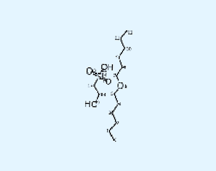 CCCCCCOCCCCCC.O=S(=O)(O)CCO